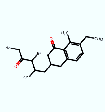 CCCC(CC1CC(=O)c2c(ccc(CC=O)c2C)C1)C(CC)C(=O)CC(C)=O